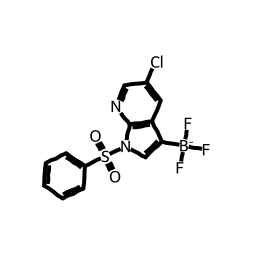 O=S(=O)(c1ccccc1)n1cc([B-](F)(F)F)c2cc(Cl)cnc21